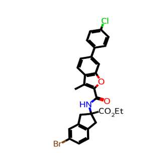 CCOC(=O)C1(NC(=O)c2oc3cc(-c4ccc(Cl)cc4)ccc3c2C)Cc2ccc(Br)cc2C1